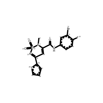 CN1C(C(=O)Nc2ccc(F)c(Br)c2)=CC(c2cccs2)=NS1(=O)=O